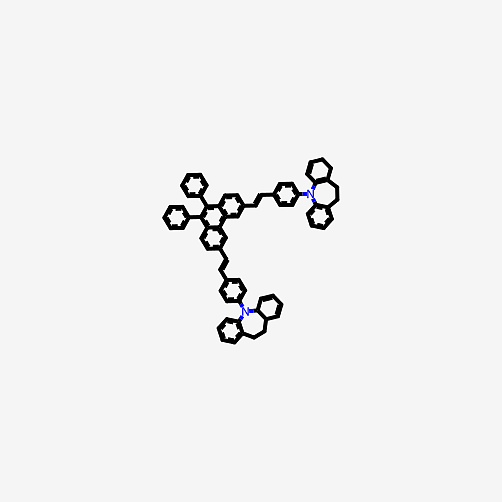 C1=CC2CCc3ccccc3N(c3ccc(/C=C/c4ccc5c(-c6ccccc6)c(-c6ccccc6)c6ccc(/C=C/c7ccc(N8C9=C(CCC=C9)CCc9ccccc98)cc7)cc6c5c4)cc3)C2C=C1